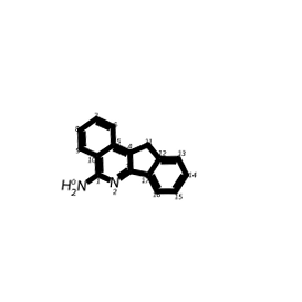 Nc1nc2c(c3ccccc13)Cc1ccccc1-2